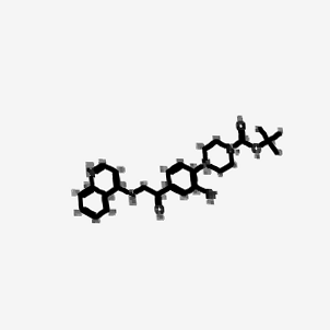 CC(C)(C)OC(=O)N1CCN(c2ccc(C(=O)CSc3ccnc4ccccc34)cc2Br)CC1